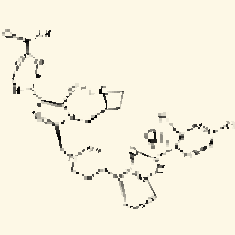 Cc1c(-c2ncc(C(=O)O)o2)nc(CN2CCC(c3cccc4c3O[C@@](C)(c3ccc(Cl)cc3F)O4)CC2)n1C[C@@H]1CCO1